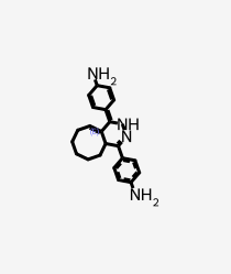 Nc1ccc(C2=NNC(=C3C=CC(N)C=C3)/C3=C/CCCCCC23)cc1